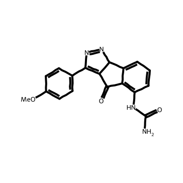 COc1ccc(C2=C3C(=O)c4c(NC(N)=O)cccc4C3N=N2)cc1